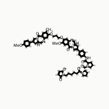 COc1ccc(C2=CN3C(=O)c4cc(C)c(OCCCOc5cc6c(cc5OC)C(=O)N5C=C(c7ccc(NC(=O)C8CCCN8C(=O)[C@@H]8CCCN8C(=O)CCCCCN8C(=O)C=CC8=O)cc7)C[C@H]5C=N6)cc4N=C[C@@H]3C2)cc1